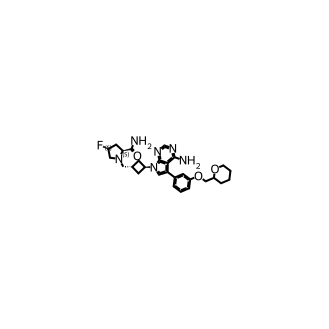 NC(=O)[C@@H]1C[C@H](F)CN1C[C@H]1C[C@H](n2cc(-c3cccc(OCC4CCCCO4)c3)c3c(N)ncnc32)C1